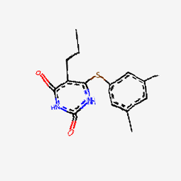 CCCc1c(Sc2cc(C)cc(C)c2)[nH]c(=O)[nH]c1=O